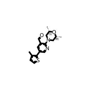 Cc1ccsc1-c1cnc(N2C[C@@H](C)O[C@@H](C)C2)c(C=O)c1